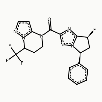 O=C(c1nc2n(n1)[C@H](c1ccccc1)C[C@@H]2F)N1CCC(C(F)(F)F)n2nccc21